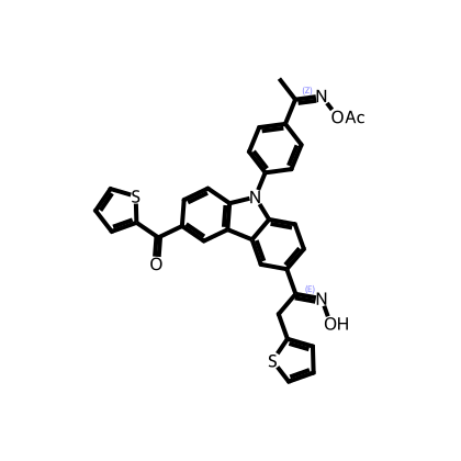 CC(=O)O/N=C(/C)c1ccc(-n2c3ccc(C(=O)c4cccs4)cc3c3cc(/C(Cc4cccs4)=N/O)ccc32)cc1